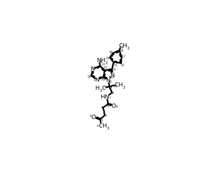 CC(=O)CCC(=O)NCC(C)(C)n1nc(-c2ccc(C)cc2)c2c(N)ncnc21